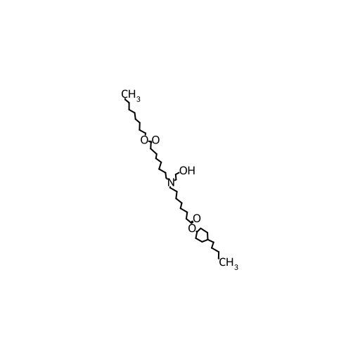 CCCCCCCCCOC(=O)CCCCCCCN(CCO)CCCCCCCC(=O)OC1CCC(CCCCC)CC1